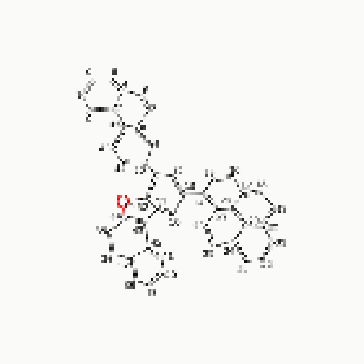 c1ccc2c(c1)ccc1cc(-c3cc(-c4ccc5ccc6cccc7ccc4c5c67)cc4c3oc3ccc5ccccc5c34)ccc12